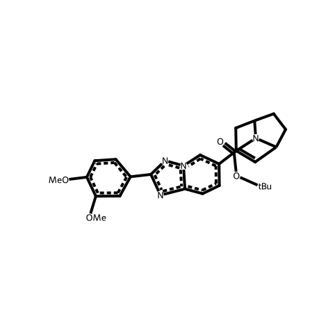 COc1ccc(-c2nc3ccc(C4=CC5CCC(C4)N5C(=O)OC(C)(C)C)cn3n2)cc1OC